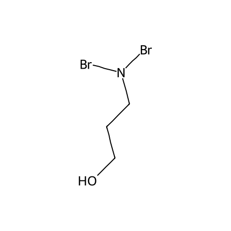 OCCCN(Br)Br